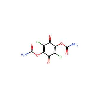 NC(=O)OC1=C(Cl)C(=O)C(OC(N)=O)=C(Cl)C1=O